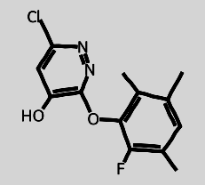 Cc1cc(C)c(F)c(Oc2nnc(Cl)cc2O)c1C